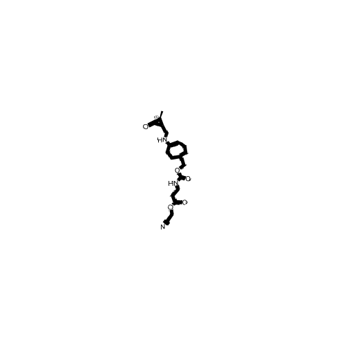 C[C@@H]1C(=O)C1CNC1=CCC=C(COC(=O)NCCC(=O)OCC#N)CC1